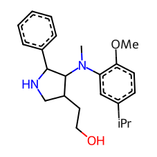 COc1ccc(C(C)C)cc1N(C)C1C(CCO)CNC1c1ccccc1